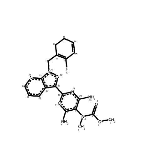 COC(=O)N(C)c1c(N)nc(-c2nn(CC3=C(F)C=CCC3)c3ncccc23)nc1N